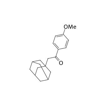 COc1ccc(C(=O)CC23CC4CC(CC(C4)C2)C3)cc1